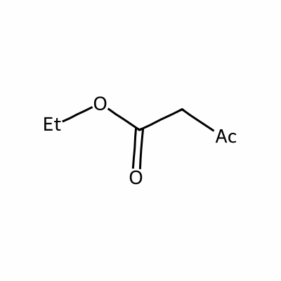 CCOC(=O)C[13C](C)=O